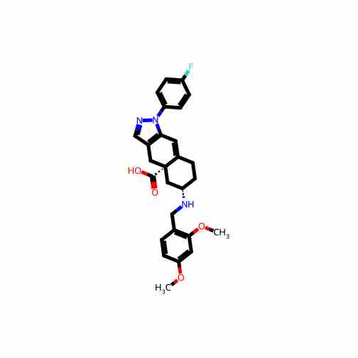 COc1ccc(CN[C@H]2CCC3=Cc4c(cnn4-c4ccc(F)cc4)C[C@]3(C(=O)O)C2)c(OC)c1